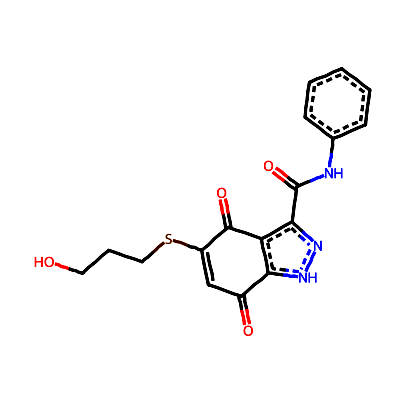 O=C(Nc1ccccc1)c1n[nH]c2c1C(=O)C(SCCCO)=CC2=O